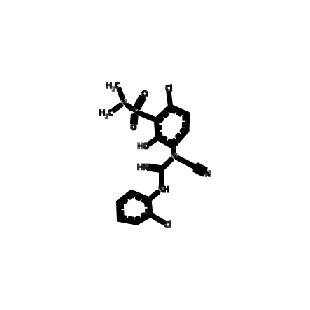 CN(C)S(=O)(=O)c1c(Cl)ccc(N(C#N)C(=N)Nc2ccccc2Cl)c1O